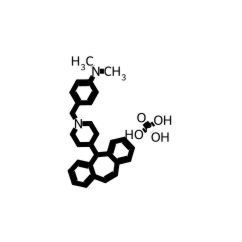 CN(C)c1ccc(CN2CCC(C3c4ccccc4C=Cc4ccccc43)CC2)cc1.O=P(O)(O)O